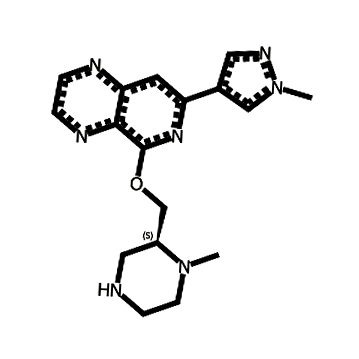 CN1CCNC[C@H]1COc1nc(-c2cnn(C)c2)cc2nccnc12